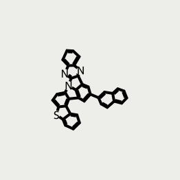 c1ccc2cc(-c3cc4c5nc6ccccc6nc5n5c6ccc7sc8ccccc8c7c6c(c3)c45)ccc2c1